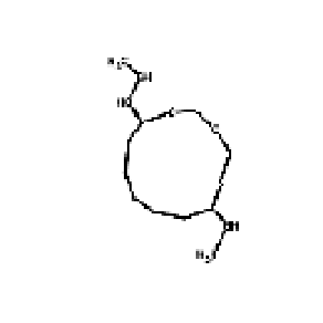 BB[C@H]1CCCCC[C@@H](BBC)CCCCC1